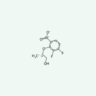 C[C@@H](CO)Oc1c([N+](=O)[O-])ccc(F)c1F